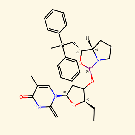 C=C1NC(=O)C(C)=CN1[C@H]1CC(O[P@@]2O[C@H](C[Si](C)(c3ccccc3)c3ccccc3)[C@@H]3CCCN32)[C@@H](CC)O1